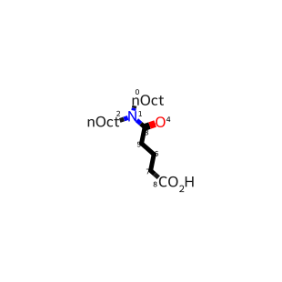 CCCCCCCCN(CCCCCCCC)C(=O)CCCC(=O)O